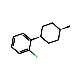 C[C@H]1CC[C@@H](c2ccccc2F)CC1